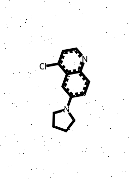 Clc1ccnc2ccc(N3CCCC3)cc12